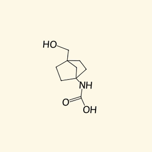 O=C(O)NC12CCC(CO)(CC1)C2